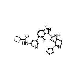 O=C(Nc1cncc(-c2ccc3[nH]nc(-c4nc5c(-c6ccsc6)nccc5[nH]4)c3c2F)c1)C1CCCC1